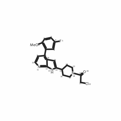 COc1ccc(F)cc1-c1ccnc2[nH]c(C3CCN(C(=O)CCl)CC3)cc12